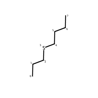 CC[CH]SCCCC